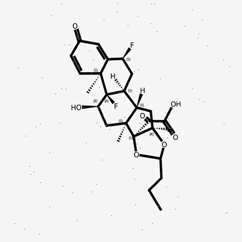 CCCC1O[C@@H]2C[C@H]3[C@@H]4C[C@H](F)C5=CC(=O)C=C[C@]5(C)[C@@]4(F)[C@H](O)C[C@]3(C)[C@]2(C(=O)C(=O)O)O1